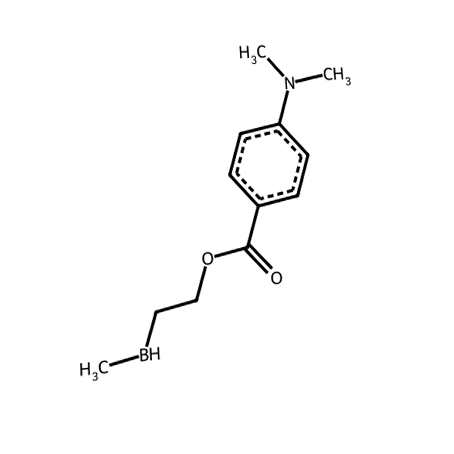 CBCCOC(=O)c1ccc(N(C)C)cc1